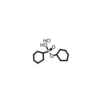 Cl.O=P(O)(OC1CCCCC1)C1CCCCC1